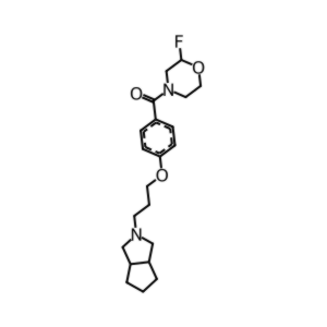 O=C(c1ccc(OCCCN2CC3CCCC3C2)cc1)N1CCOC(F)C1